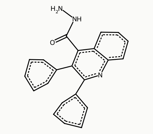 NNC(=O)c1c(-c2ccccc2)c(-c2ccccc2)nc2ccccc12